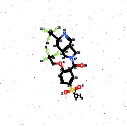 CS(=O)(=O)c1ccc(OCC(F)(F)F)c(C(=O)N2Cc3cnc(C(F)(F)F)cc3C2)c1